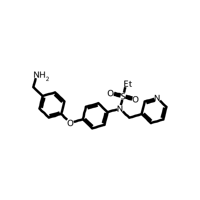 CCS(=O)(=O)N(Cc1cccnc1)c1ccc(Oc2ccc(CN)cc2)cc1